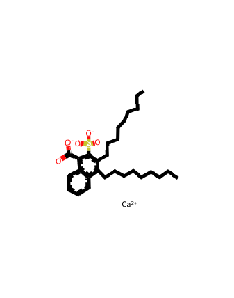 CCCCCCCCCc1c(S(=O)(=O)[O-])c(C(=O)[O-])c2ccccc2c1CCCCCCCCC.[Ca+2]